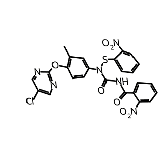 Cc1cc(N(Sc2ccccc2[N+](=O)[O-])C(=O)NC(=O)c2ccccc2[N+](=O)[O-])ccc1Oc1ncc(Cl)cn1